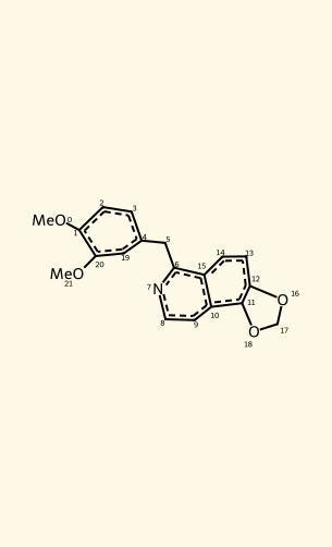 COc1ccc(Cc2nccc3c4c(ccc23)OCO4)cc1OC